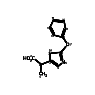 CC(C(=O)O)c1cnc(Oc2ccccc2)s1